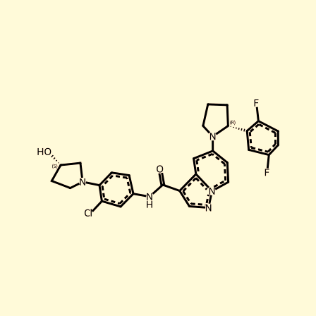 O=C(Nc1ccc(N2CC[C@H](O)C2)c(Cl)c1)c1cnn2ccc(N3CCC[C@@H]3c3cc(F)ccc3F)cc12